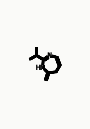 C=C1CC=CN=C(C(C)C)N1